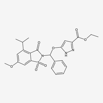 CCOC(=O)c1cc(OC(c2ccccc2)N2C(=O)c3c(C(C)C)cc(OC)cc3S2(=O)=O)[nH]n1